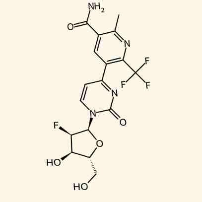 Cc1nc(C(F)(F)F)c(-c2ccn([C@H]3O[C@H](CO)[C@@H](O)[C@H]3F)c(=O)n2)cc1C(N)=O